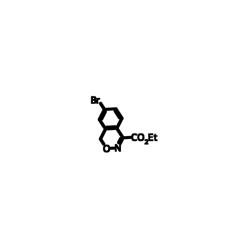 CCOC(=O)C1=NOCc2cc(Br)ccc21